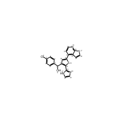 OC(c1ccc(Cl)cc1)c1cc(-c2ccnc3sccc23)sc1-c1ncc[nH]1